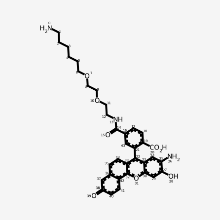 NCCCCCCOCCOCCNC(=O)c1ccc(C(=O)O)c(-c2c3cc(N)c(O)cc3oc3c2ccc2cc(=O)ccc23)c1